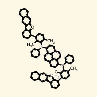 Cc1ccc(-c2cccc3c2oc2cc4ccccc4cc23)c(C)c1N(c1ccccc1)c1ccc2ccc3c(N(c4ccccc4)c4c(C)ccc(-c5cccc6c5oc5cc7ccccc7cc56)c4C)ccc4ccc1c2c43